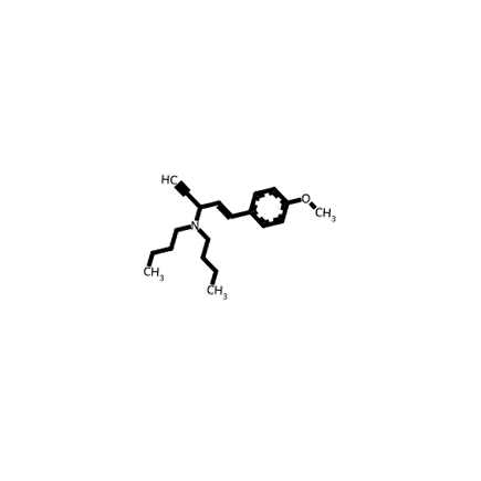 C#CC(C=Cc1ccc(OC)cc1)N(CCCC)CCCC